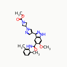 COC(=O)N1CC(n2cc(-c3n[nH]c4cc(OC)c(C(=O)Nc5c(C)cccc5C)cc34)cn2)C1